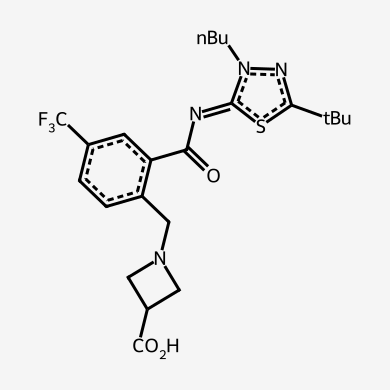 CCCCn1nc(C(C)(C)C)s/c1=N\C(=O)c1cc(C(F)(F)F)ccc1CN1CC(C(=O)O)C1